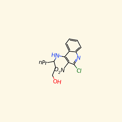 CCCC(CCO)Nc1c([N+](=O)[O-])c(Cl)nc2ccccc12